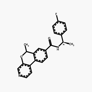 CC1Oc2cnccc2-c2ccc(C(=O)N[C@H](C)c3ccc(F)cc3)cc21